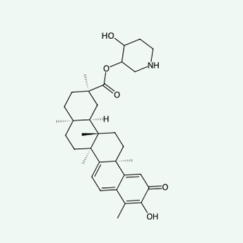 CC1=C(O)C(=O)C=C2C1=CC=C1[C@@]2(C)CC[C@@]2(C)[C@@H]3C[C@](C)(C(=O)OC4CNCCC4O)CC[C@]3(C)CC[C@]12C